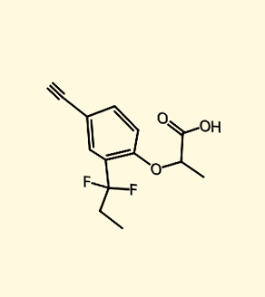 C#Cc1ccc(OC(C)C(=O)O)c(C(F)(F)CC)c1